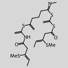 C=C(CCC/C(=N/C)SC(=C)SC(=O)C/C(=C/C)SC)SC(=C)NC(=O)C/C(=C/C)SC